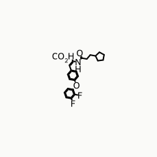 O=C(CCC1CCCC1)NC(=Cc1ccc(Oc2cccc(F)c2F)cc1)C(=O)O